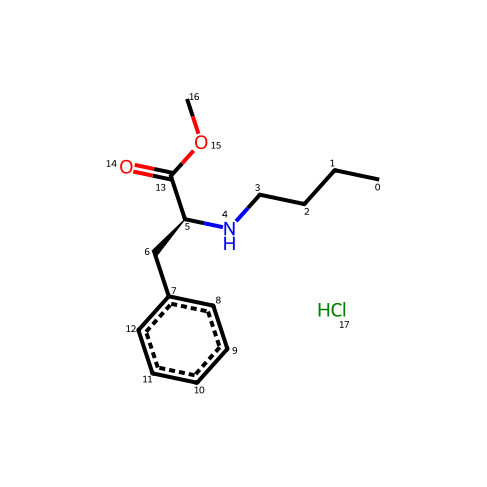 CCCCN[C@@H](Cc1ccccc1)C(=O)OC.Cl